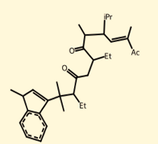 CCC(CC(=O)C(CC)C(C)(C)C1=CC(C)c2ccccc21)C(=O)C(C)C(/C=C(\C)C(C)=O)C(C)C